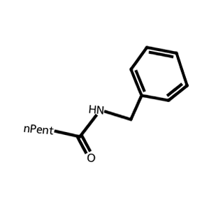 CCCCCC(=O)NCc1ccccc1